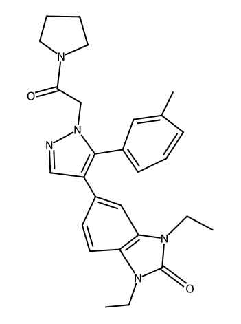 CCn1c(=O)n(CC)c2cc(-c3cnn(CC(=O)N4CCCC4)c3-c3cccc(C)c3)ccc21